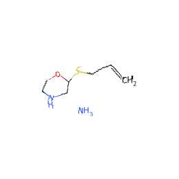 C=CCSC1CNCCO1.N